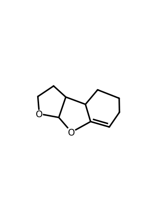 C1=C2OC3OCCC3C2CCC1